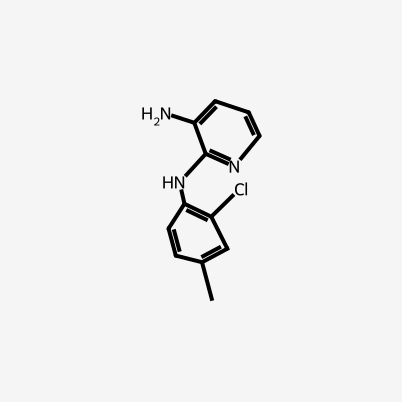 Cc1ccc(Nc2ncccc2N)c(Cl)c1